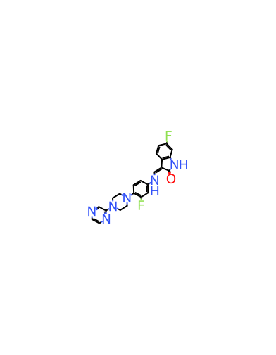 O=C1Nc2cc(F)ccc2C1=CNc1ccc(N2CCN(c3cnccn3)CC2)c(F)c1